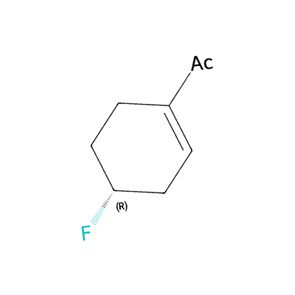 CC(=O)C1=CC[C@H](F)CC1